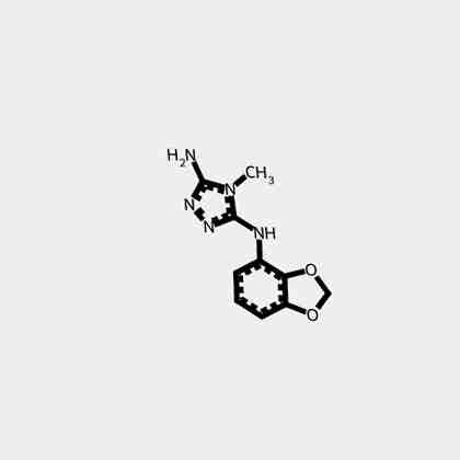 Cn1c(N)nnc1Nc1cccc2c1OCO2